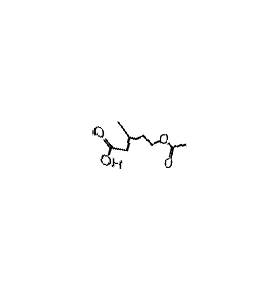 CC(=O)OCCC(C)CC(=O)O